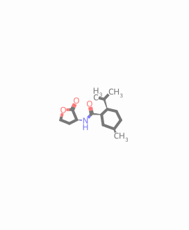 CC(C)[C@H]1CC[C@@H](C)C[C@H]1C(=O)N[C@@H]1CCOC1=O